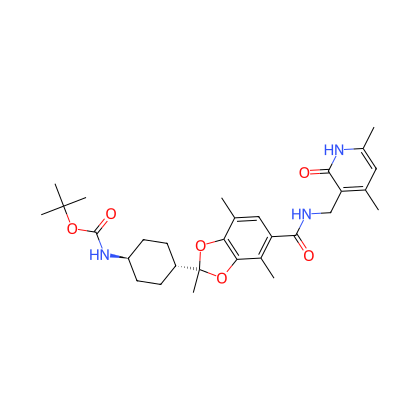 Cc1cc(C)c(CNC(=O)c2cc(C)c3c(c2C)OC(C)([C@H]2CC[C@H](NC(=O)OC(C)(C)C)CC2)O3)c(=O)[nH]1